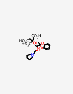 CC(OCCN1CCCCC1)C1(C)Oc2ccccc2O1.O=C(O)CC(O)(CC(=O)O)C(=O)O